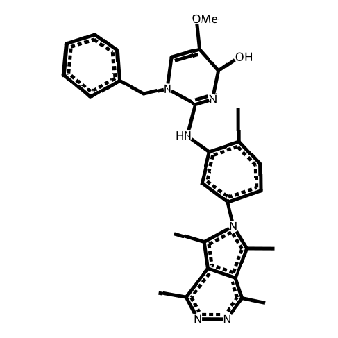 COC1=CN(Cc2ccccc2)C(Nc2cc(-n3c(C)c4c(C)nnc(C)c4c3C)ccc2C)=NC1O